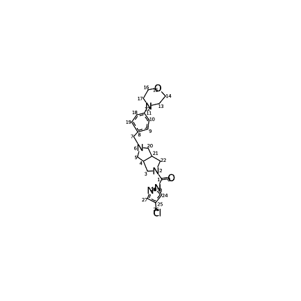 O=C(N1CC2CN(Cc3ccc(N4CCOCC4)cc3)CC2C1)n1cc(Cl)cn1